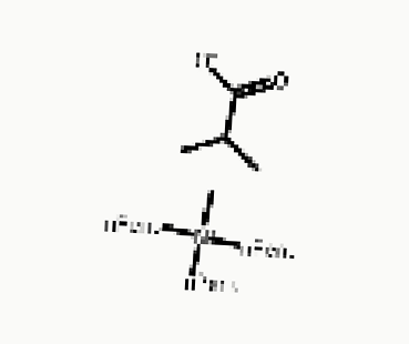 CC(C)C(=O)[O-].CCCCC[N+](C)(CCCCC)CCCCC